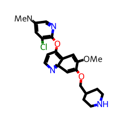 CNc1cnc(Oc2ccnc3cc(OCC4CCNCC4)c(OC)cc23)c(Cl)c1